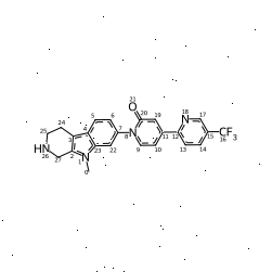 Cn1c2c(c3ccc(-n4ccc(-c5ccc(C(F)(F)F)cn5)cc4=O)cc31)CCNC2